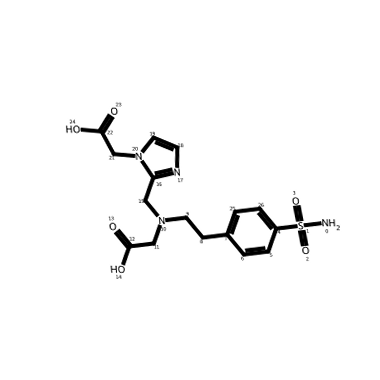 NS(=O)(=O)c1ccc(CCN(CC(=O)O)Cc2nccn2CC(=O)O)cc1